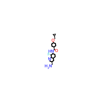 NCc1cnc2c(F)c(NC(=O)c3ccc(OCC4CC4)cc3)ccc2c1